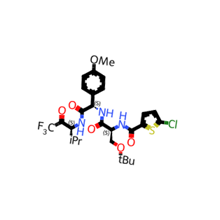 COc1ccc([C@H](NC(=O)[C@H](COC(C)(C)C)NC(=O)c2ccc(Cl)s2)C(=O)N[C@H](C(=O)C(F)(F)F)C(C)C)cc1